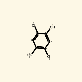 CC(C)(C)c1cc(Cl)c(O)cc1Cl